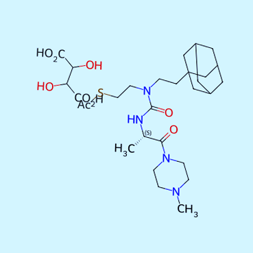 CC(=O)SCCN(CCC12CC3CC(CC(C3)C1)C2)C(=O)N[C@@H](C)C(=O)N1CCN(C)CC1.O=C(O)C(O)C(O)C(=O)O